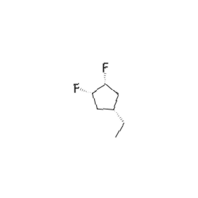 CC[C@H]1C[C@@H](F)[C@@H](F)C1